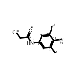 Cc1cc(NC(=O)CCl)cc(F)c1Br